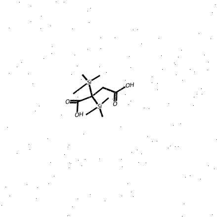 C[Si](C)(C)C(CC(=O)O)(C(=O)O)[Si](C)(C)C